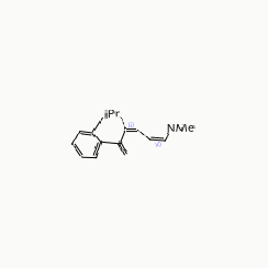 C=C(/C(=C\C=C/NC)C(C)C)c1ccccc1C